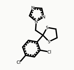 Clc1ccc(C2(Cn3cncn3)SCCS2)c(Cl)c1